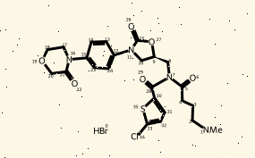 Br.CNCCCC(=O)N(C[C@H]1CN(c2ccc(N3CCOCC3=O)cc2)C(=O)O1)C(=O)c1ccc(Cl)s1